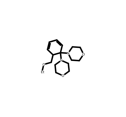 CCOCC1C=CC=CC1(N1CCOCC1)N1CCOCC1